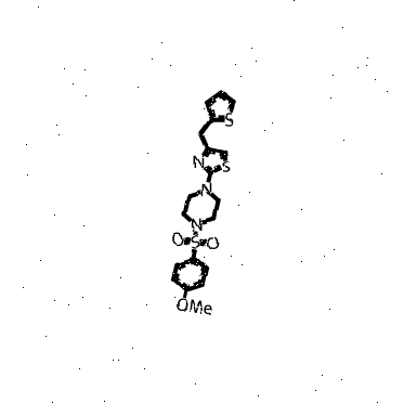 COc1ccc(S(=O)(=O)N2CCN(c3nc(Cc4cccs4)cs3)CC2)cc1